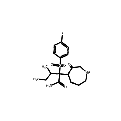 [CH2]CC(C)C(C(N)=O)(C1CCCNCC1=O)S(=O)(=O)c1ccc(F)cc1